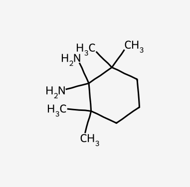 CC1(C)CCCC(C)(C)C1(N)N